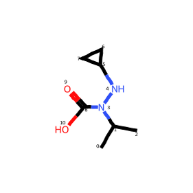 CC(C)N(NC1CC1)C(=O)O